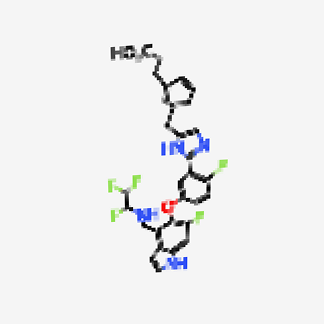 O=C(O)CCc1cccc(Cc2cnc(-c3cc(Oc4c(F)cc5[nH]ccc5c4CNC(F)C(F)F)ccc3F)[nH]2)c1